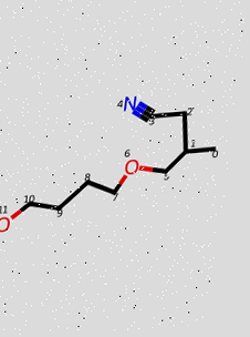 CC(CC#N)COCCCCO